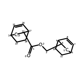 O=C(OCC1CC2C=CC1CC2)C1CC2C=CC1CC2